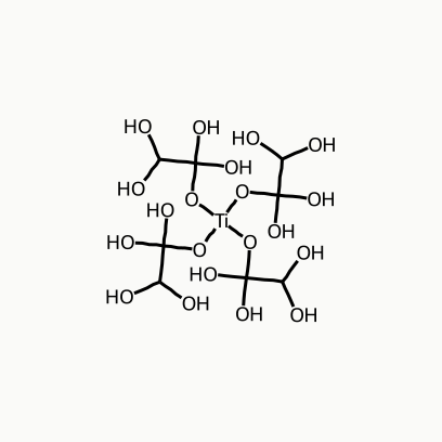 OC(O)C(O)(O)[O][Ti]([O]C(O)(O)C(O)O)([O]C(O)(O)C(O)O)[O]C(O)(O)C(O)O